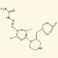 NC(=S)N/N=C/c1cc(F)c(N2CCNCC2Cc2ccc(F)cc2)cc1F